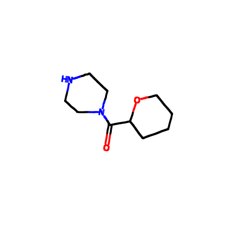 O=C(C1CCCCO1)N1CCNCC1